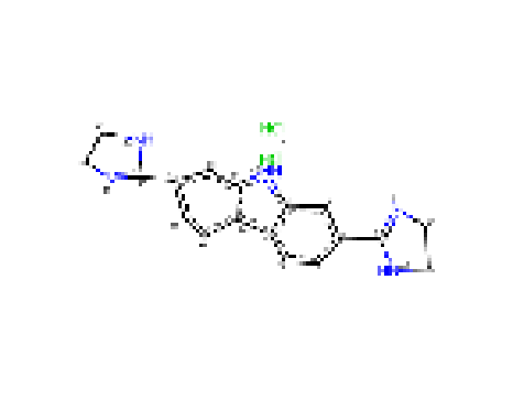 Cl.Cl.c1cc2c(cc1C1=NCCN1)[nH]c1cc(C3=NCCN3)ccc12